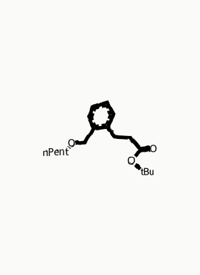 CCCCCOCc1ccccc1CCC(=O)OC(C)(C)C